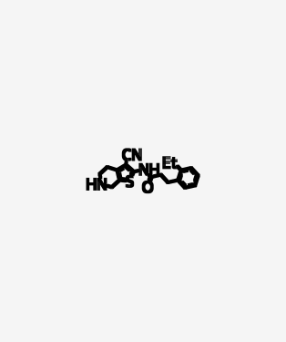 CCc1ccccc1CCC(=O)Nc1sc2c(c1C#N)CCNC2